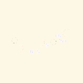 COC(=O)NC(=N)c1ccc(N2CC(CN3CCN(CCC(=O)OCc4ccccc4)CC3)OC2=O)cc1